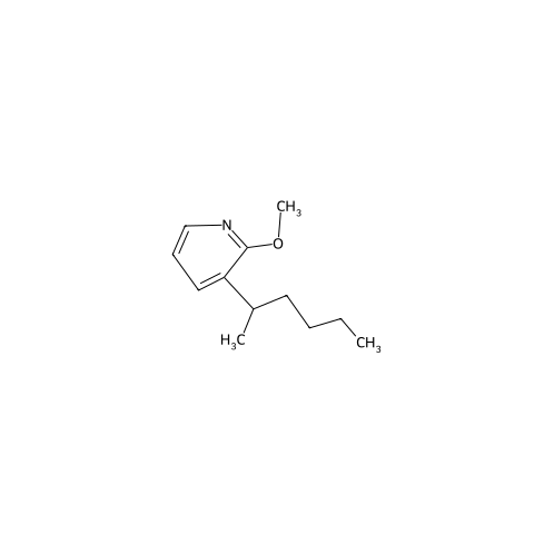 CCCCC(C)c1cccnc1OC